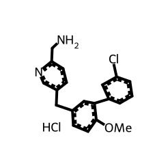 COc1ccc(Cc2ccc(CN)nc2)cc1-c1cccc(Cl)c1.Cl